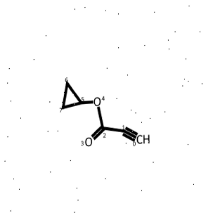 C#CC(=O)OC1CC1